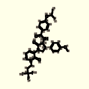 COc1ccc([C@@H]2CN(c3ccnn(CCC(F)(F)F)c3=O)C(=O)[C@H]2NC(=O)c2ccc(OC(F)F)cc2)cc1